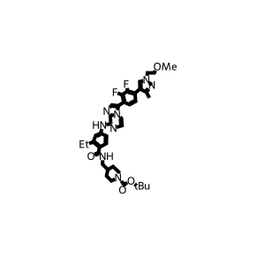 CCc1cc(Nc2nccn3c(-c4ccc(-c5cn(CCOC)nc5C)c(F)c4F)cnc23)ccc1C(=O)NCC1CCN(C(=O)OC(C)(C)C)CC1